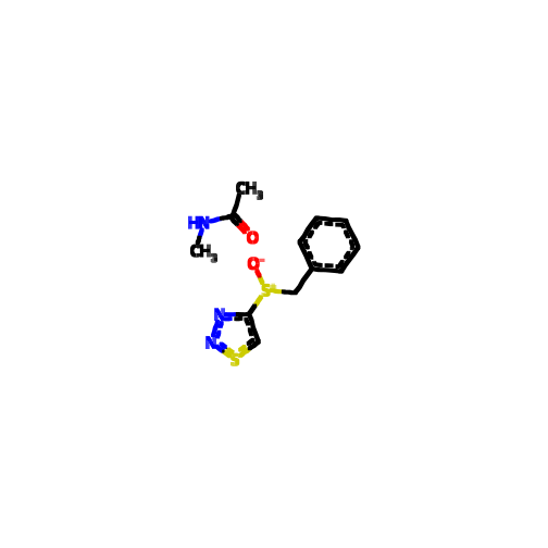 CNC(C)=O.[O-][S+](Cc1ccccc1)c1csnn1